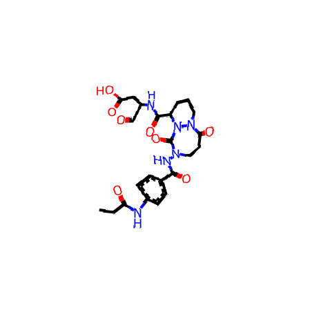 CCC(=O)Nc1ccc(C(=O)NN2CCC(=O)N3CCCC(C(=O)NC(C=O)CC(=O)O)N3C2=O)cc1